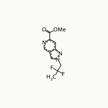 COC(=O)c1cc2nn(CC(C)(F)F)cc2cn1